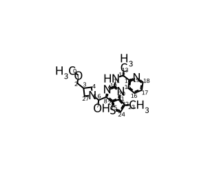 COCC1CN(C(O)c2nc(NC(C)c3ccccn3)nc3c(C)csc23)C1